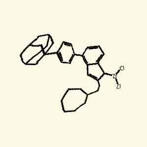 [Cl][Zr]([Cl])[CH]1C(CC2CCCCCC2)=Cc2c(-c3ccc(C45CC6CC(CC(C6)C4)C5)cc3)cccc21